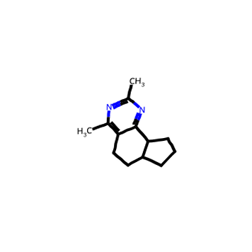 Cc1nc(C)c2c(n1)C1CCCC1CC2